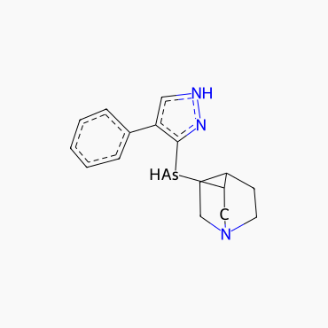 c1ccc(-c2c[nH]nc2[AsH]C2CN3CCC2CC3)cc1